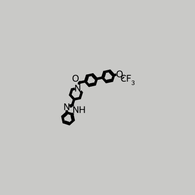 O=C(c1ccc(-c2ccc(OC(F)(F)F)cc2)cc1)N1CCC(c2nc3ccccc3[nH]2)CC1